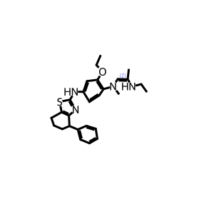 CCN/C(C)=C\N(C)c1ccc(Nc2nc3c(s2)CCCC3c2ccccc2)cc1OCC